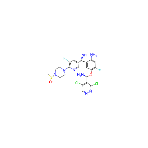 C[S+]([O-])N1CCN(c2ncc(C(=N)c3cc(O[C@H](N)c4c(Cl)cnnc4Cl)c(F)cc3N)cc2F)CC1